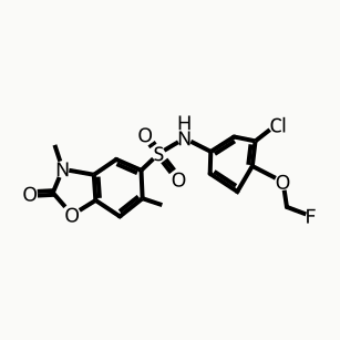 Cc1cc2oc(=O)n(C)c2cc1S(=O)(=O)Nc1ccc(OCF)c(Cl)c1